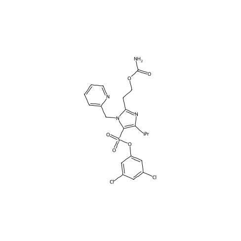 CC(C)c1nc(CCOC(N)=O)n(Cc2ccccn2)c1S(=O)(=O)Oc1cc(Cl)cc(Cl)c1